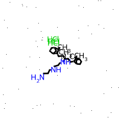 CC1(C)C2CCC(C2)C1CCC(CCC1C2CCC(C2)C1(C)C)NCCCNCCCN.Cl.Cl.Cl